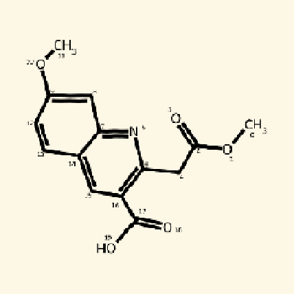 COC(=O)Cc1nc2cc(OC)ccc2cc1C(=O)O